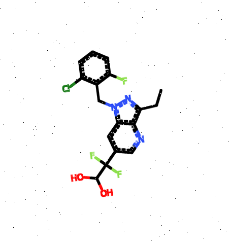 CCc1nn(Cc2c(F)cccc2Cl)c2cc(C(F)(F)C(O)O)cnc12